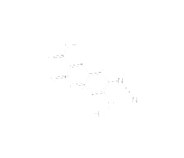 COc1cc2oc(=O)c(C(=O)O)cc2cc1N=[N+]=[N-]